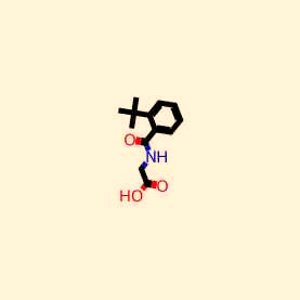 CC(C)(C)c1ccccc1C(=O)NCC(=O)O